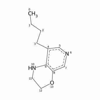 CCCCc1cncc2c1NCCO2